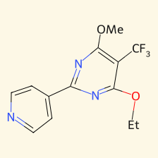 CCOc1nc(-c2ccncc2)nc(OC)c1C(F)(F)F